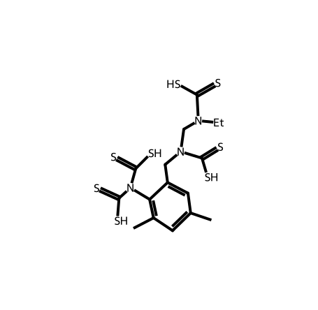 CCN(CN(Cc1cc(C)cc(C)c1N(C(=S)S)C(=S)S)C(=S)S)C(=S)S